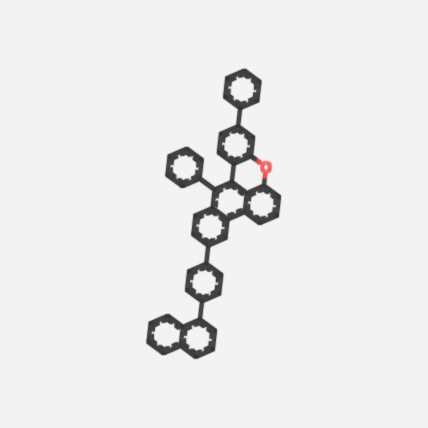 c1ccc(-c2ccc3c(c2)Oc2cccc4c2c-3c(-c2ccccc2)c2ccc(-c3ccc(-c5cccc6ccccc56)cc3)cc24)cc1